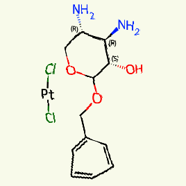 N[C@H]1[C@H](O)C(OCc2ccccc2)OC[C@@H]1N.[Cl][Pt][Cl]